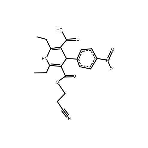 CCC1=C(C(=O)O)C(c2ccc([N+](=O)[O-])cc2)C(C(=O)OCCC#N)=C(CC)N1